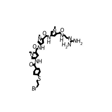 Cn1cc(NC(=O)c2cc(NC(=O)c3cc(NC(=O)c4ccc(SCCBr)cc4)cn3C)cn2C)cc1C(=O)NCCN=C(N)N